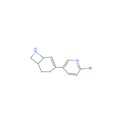 Brc1ccc(C2=CC3NCC3CC2)cn1